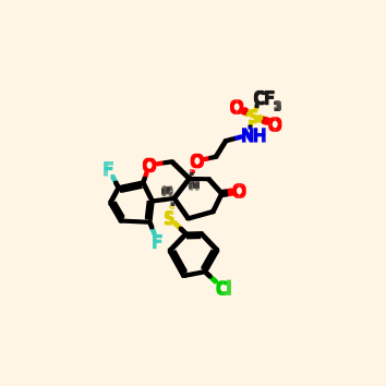 O=C1CC[C@@]2(Sc3ccc(Cl)cc3)c3c(F)ccc(F)c3OC[C@@]2(OCCNS(=O)(=O)C(F)(F)F)C1